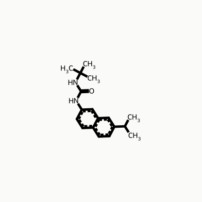 CC(C)c1ccc2ccc(NC(=O)NC(C)(C)C)cc2c1